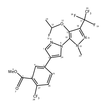 COC(=O)c1cc(-c2cnn(-c3c(OC(C)F)c(C(F)(F)C(F)(F)F)nn3C)c2)ccc1C(F)(F)F